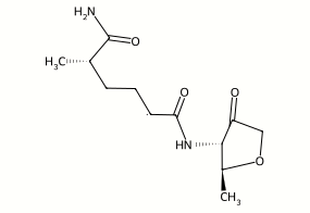 C[C@@H]1OCC(=O)[C@H]1NC(=O)[CH]CC[C@H](C)C(N)=O